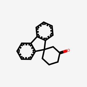 O=C1CCCC2(C1)c1ccccc1-c1ccccc12